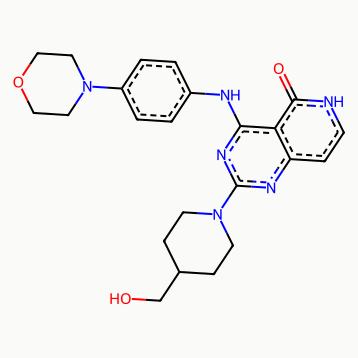 O=c1[nH]ccc2nc(N3CCC(CO)CC3)nc(Nc3ccc(N4CCOCC4)cc3)c12